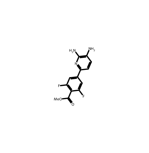 COC(=O)c1c(F)cc(-c2ccc(N)c(N)n2)cc1F